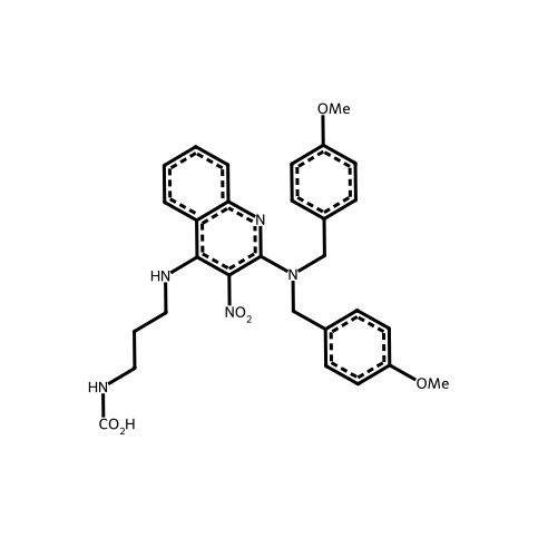 COc1ccc(CN(Cc2ccc(OC)cc2)c2nc3ccccc3c(NCCCNC(=O)O)c2[N+](=O)[O-])cc1